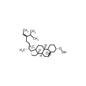 C/C=C(/CC[C@@H](C)[C@H]1CC[C@H]2[C@@H]3CC=C4C[C@@H](OO)CC[C@]4(C)[C@H]3CC[C@]12C)C(C)C